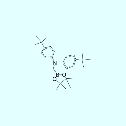 CC(C)(C)c1ccc(N(CB2OC(C)(C)C(C)(C)O2)c2ccc(C(C)(C)C)cc2)cc1